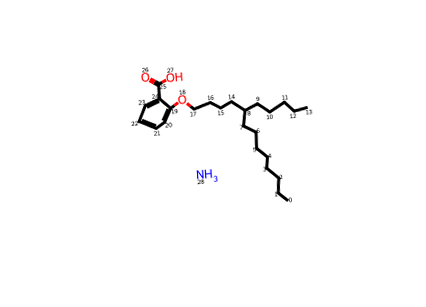 CCCCCCCCC(CCCCC)CCCCOc1ccccc1C(=O)O.N